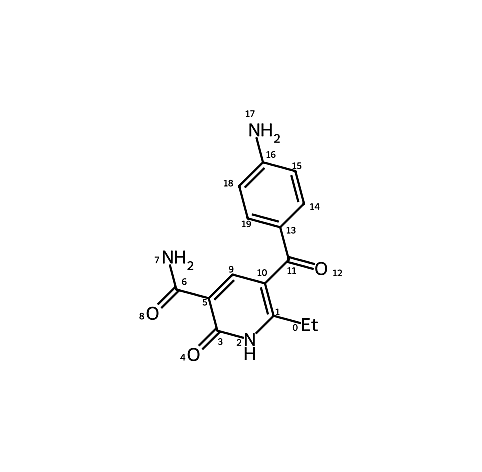 CCc1[nH]c(=O)c(C(N)=O)cc1C(=O)c1ccc(N)cc1